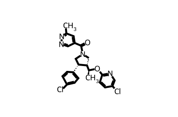 Cc1cc(C(=O)N2C[C@H]([C@H](C)Oc3ccc(Cl)cn3)[C@H](c3ccc(Cl)cc3)C2)cnn1